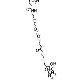 CC1(C)OC(CCCCCCC(=O)NCCCOCCOCCOCCCNC(=O)CCC(=O)O)=C1O